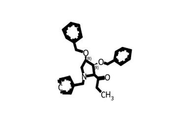 CCC(=O)C1[C@@H](OCc2ccccc2)[C@H](OCc2ccccc2)CN1Cc1ccccc1